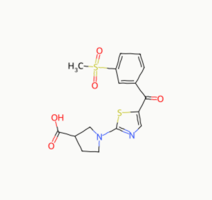 CS(=O)(=O)c1cccc(C(=O)c2cnc(N3CCC(C(=O)O)C3)s2)c1